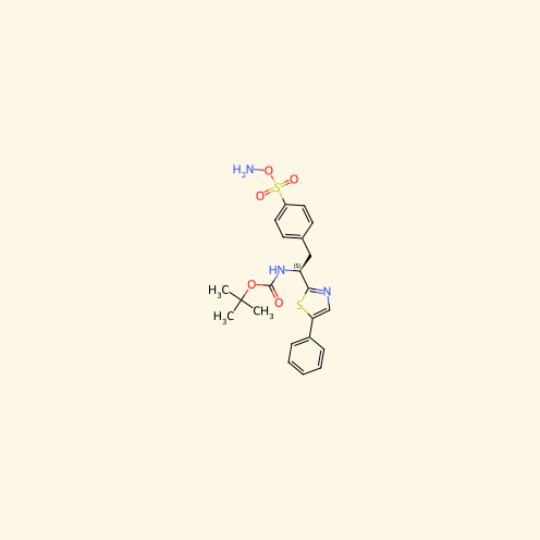 CC(C)(C)OC(=O)N[C@@H](Cc1ccc(S(=O)(=O)ON)cc1)c1ncc(-c2ccccc2)s1